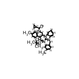 Cc1ccc(CC(CNC(=O)C2CC2)n2c(=NC(=O)OC(C)(C)C)n(Cc3ccc(C)cc3)c3ccccc32)cc1